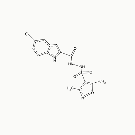 Cc1noc(C)c1S(=O)(=O)NNC(=O)c1cc2cc(Cl)ccc2[nH]1